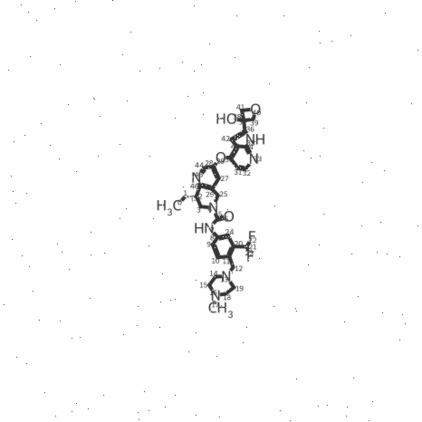 CC[C@H]1CN(C(=O)Nc2ccc(CN3CCN(C)CC3)c(C(F)F)c2)Cc2cc(Oc3ccnc4[nH]c(C5(O)COC5)cc34)cnc21